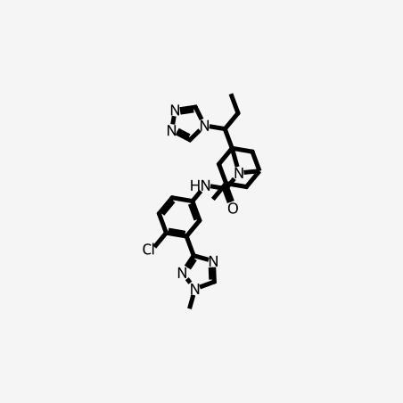 CCC(n1cnnc1)C12CC(C)CC(C1)N2C(=O)Nc1ccc(Cl)c(-c2ncn(C)n2)c1